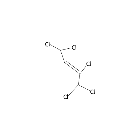 ClC(=CC(Cl)Cl)C(Cl)Cl